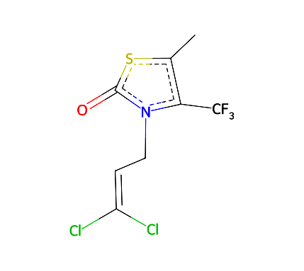 Cc1sc(=O)n(CC=C(Cl)Cl)c1C(F)(F)F